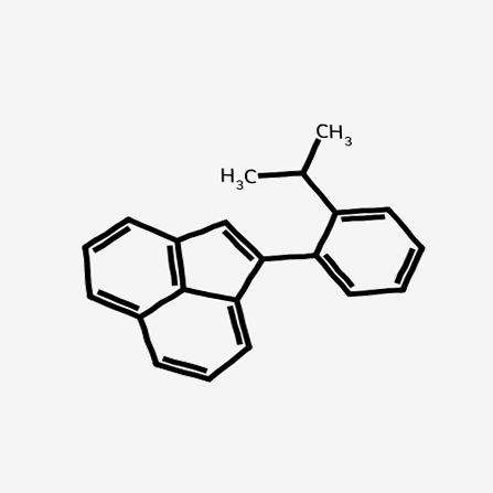 CC(C)c1ccccc1C1=Cc2cccc3cccc1c23